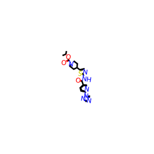 CC(C)OC(=O)N1CCC(c2cnc(NC(=O)c3ccc(-n4cncn4)nc3)s2)CC1